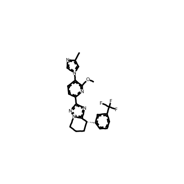 COc1nc(-c2nc3n(n2)CCC[C@H]3c2cccc(C(F)(F)F)c2)ccc1-n1cnc(C)c1